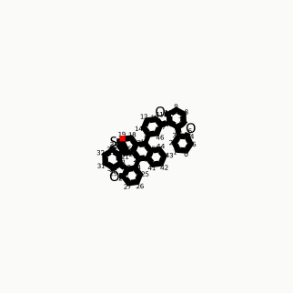 c1ccc2c(c1)oc1ccc3oc4ccc(-c5c6ccccc6c(-c6cccc7oc8ccc9sccc9c8c67)c6ccccc56)cc4c3c12